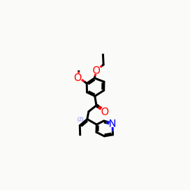 C/C=C(/CC(=O)c1ccc(OCC)c(OC)c1)c1cccnc1